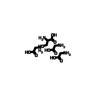 NC(CO)C(=O)O.NCC(=O)O.NCC(=O)O.NCC(=O)O